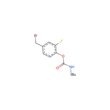 CC(C)(C)NC(=O)Oc1ccc(CBr)cc1F